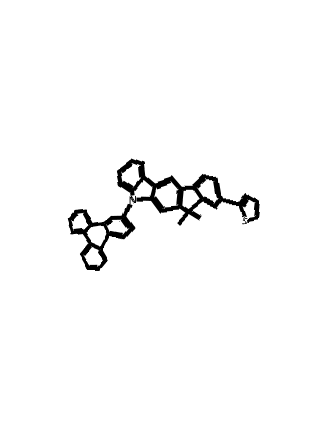 CC1(C)c2cc(-c3cccs3)ccc2-c2cc3c4ccccc4n(-c4ccc5c6ccccc6c6ccccc6c5c4)c3cc21